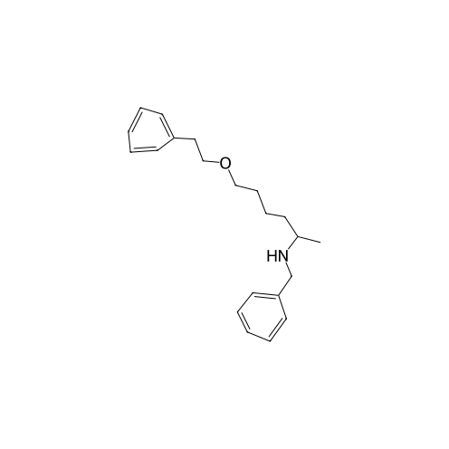 CC(CCCCOCCc1ccccc1)NCc1ccccc1